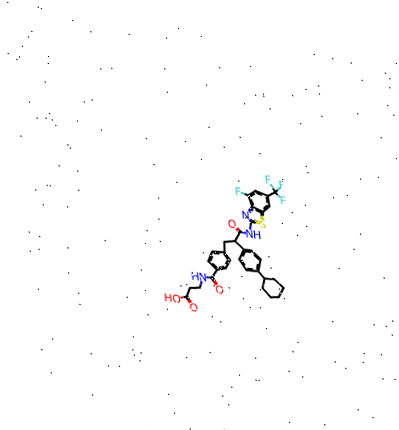 O=C(O)CCNC(=O)c1ccc(CC(C(=O)Nc2nc3c(F)cc(C(F)(F)F)cc3s2)c2ccc(C3CCCCC3)cc2)cc1